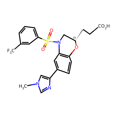 Cn1cnc(-c2ccc3c(c2)N(S(=O)(=O)c2cccc(C(F)(F)F)c2)C[C@H](CCC(=O)O)O3)c1